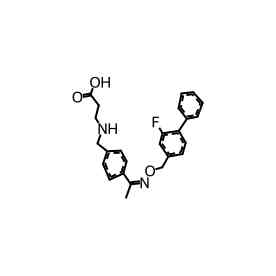 C/C(=N/OCc1ccc(-c2ccccc2)c(F)c1)c1ccc(CNCCC(=O)O)cc1